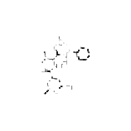 C=CC[C@H](CC(=O)O)C(=O)N[C@H](C(=O)N[C@H](COC)c1ccccc1)C(C)C